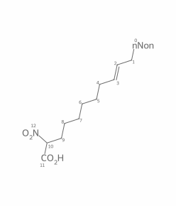 CCCCCCCCCCC=CCCCCCCC(C(=O)O)[N+](=O)[O-]